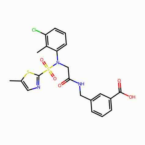 Cc1cnc(S(=O)(=O)N(CC(=O)NCc2cccc(C(=O)O)c2)c2cccc(Cl)c2C)s1